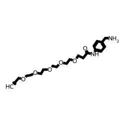 C#CCOCCOCCOCCOCCOCCC(=O)Nc1ccc(CN)cc1